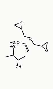 C(OCC1CO1)C1CO1.C=CC(=O)O.CC(O)C(C)O